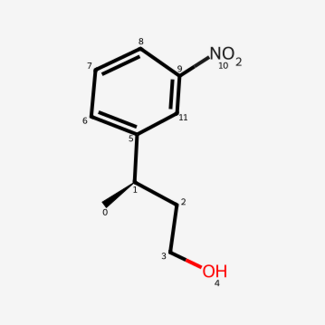 C[C@H](CCO)c1cccc([N+](=O)[O-])c1